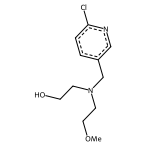 COCCN(CCO)Cc1ccc(Cl)nc1